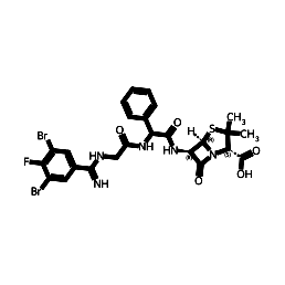 CC1(C)S[C@@H]2[C@H](NC(=O)C(NC(=O)CNC(=N)c3cc(Br)c(F)c(Br)c3)c3ccccc3)C(=O)N2[C@H]1C(=O)O